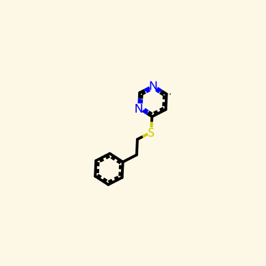 [c]1cc(SCCc2ccccc2)ncn1